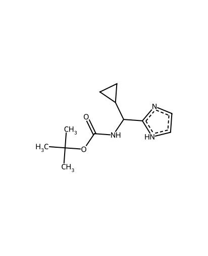 CC(C)(C)OC(=O)NC(c1ncc[nH]1)C1CC1